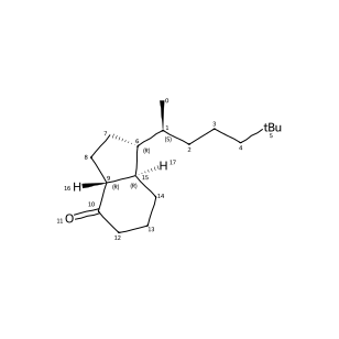 C[C@@H](CCCC(C)(C)C)[C@H]1CC[C@H]2C(=O)CCC[C@H]12